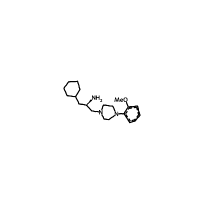 COc1ccccc1N1CCN(C[C@H](N)CC2CCCCC2)CC1